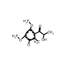 Cc1c(Cl)c(OP)cc(OP)c1C(=O)C(C)O